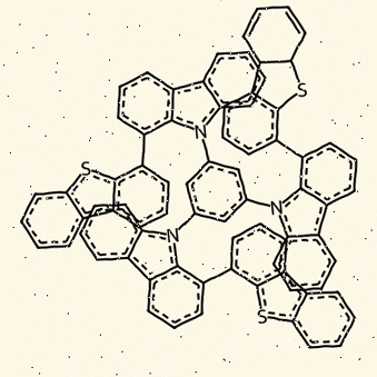 C1=CC2Sc3c(-c4cccc5c6ccccc6n(-c6cc(-n7c8ccccc8c8cccc(-c9cccc%10c9sc9ccccc9%10)c87)cc(-n7c8ccccc8c8cccc(-c9cccc%10c9sc9ccccc9%10)c87)c6)c45)cccc3C2C=C1